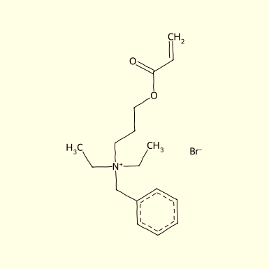 C=CC(=O)OCCC[N+](CC)(CC)Cc1ccccc1.[Br-]